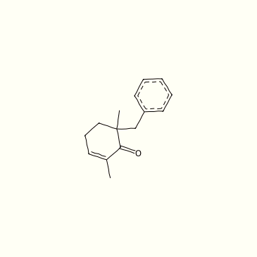 CC1=CCCC(C)(Cc2ccccc2)C1=O